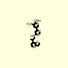 COc1ncc(-c2cc(NCC(C)c3ccnc4c3OCC4)ncn2)cc1N